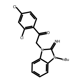 CCCCn1c(=N)n(CC(=O)c2ccc(Cl)cc2Cl)c2ccccc21